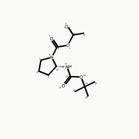 CC(Cl)OC(=O)N1CCC[C@H]1NC(=O)OC(C)(C)C